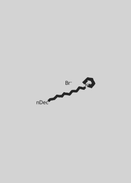 CCCCCCCCCCCCCCCCCCCC[n+]1ccccc1.[Br-]